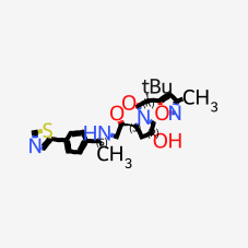 Cc1cc([C@H](C(=O)N2C[C@H](O)C[C@H]2C(=O)CN[C@@H](C)c2ccc(-c3cncs3)cc2)C(C)(C)C)on1